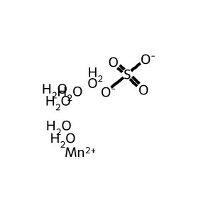 O.O.O.O.O.O.O=S(=O)([O-])[O-].[Mn+2]